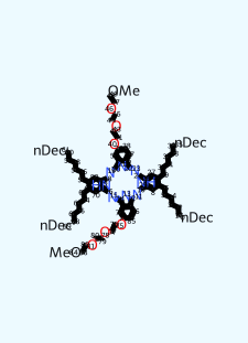 CCCCCCCCCCCCCCCCc1cc2c3nc4nc(nc5[nH]c(nc6nc(nc([nH]3)c2cc1CCCCCCCCCCCCCCCC)-c1ccc(OCCOCCOCCOC)cc1-6)c1cc(CCCCCCCCCCCCCCCC)c(CCCCCCCCCCCCCCCC)cc51)-c1cc(OCCOCCOCCOC)ccc1-4